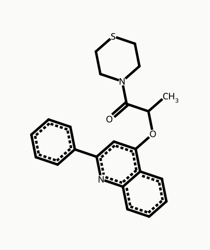 CC(Oc1cc(-c2ccccc2)nc2ccccc12)C(=O)N1CCSCC1